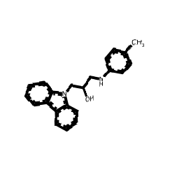 Cc1ccc(NCC(O)Cn2c3ccccc3c3ccccc32)cc1